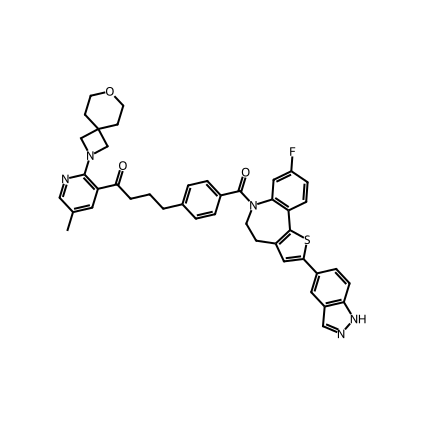 Cc1cnc(N2CC3(CCOCC3)C2)c(C(=O)CCCc2ccc(C(=O)N3CCc4cc(-c5ccc6[nH]ncc6c5)sc4-c4ccc(F)cc43)cc2)c1